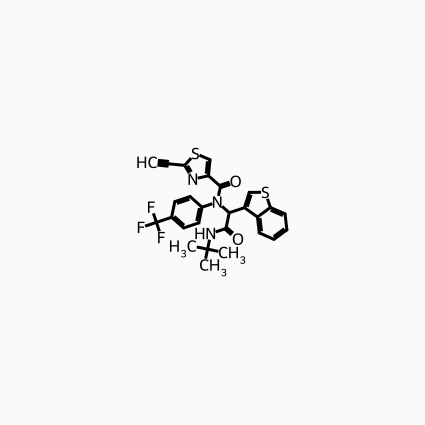 C#Cc1nc(C(=O)N(c2ccc(C(F)(F)F)cc2)C(C(=O)NC(C)(C)C)c2csc3ccccc23)cs1